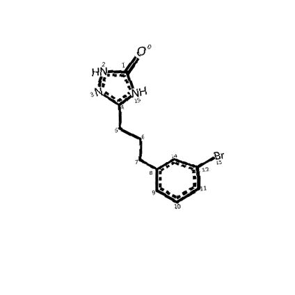 O=c1[nH]nc(CCCc2cccc(Br)c2)[nH]1